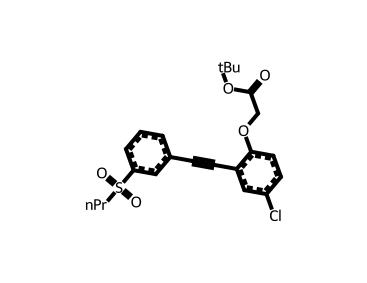 CCCS(=O)(=O)c1cccc(C#Cc2cc(Cl)ccc2OCC(=O)OC(C)(C)C)c1